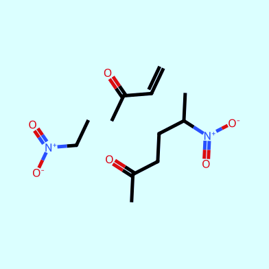 C=CC(C)=O.CC(=O)CCC(C)[N+](=O)[O-].CC[N+](=O)[O-]